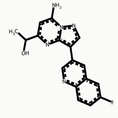 CC(O)c1cc(N)n2ncc(-c3cnc4ccc(F)cc4c3)c2n1